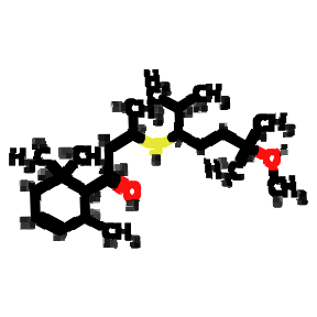 COC(C)(C)CCC(SC(C)CC(=O)C1C(C)C=CCC1(C)C)C(C)C